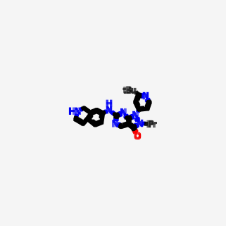 CC(C)n1c(=O)c2cnc(Nc3ccc4c(c3)CNC=C4)nc2n1-c1ccnc(C(C)(C)C)c1